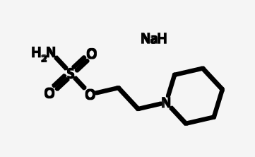 NS(=O)(=O)OCCN1CCCCC1.[NaH]